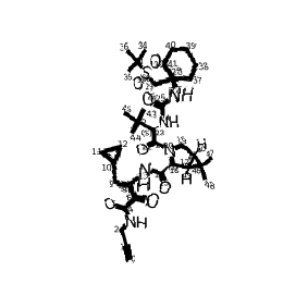 C#CCNC(=O)C(=O)C(CC1CC1)NC(=O)[C@@H]1[C@@H]2[C@H](CN1C(=O)[C@@H](NC(=O)NC1(CS(=O)(=O)C(C)(C)C)CCCCC1)C(C)(C)C)C2(C)C